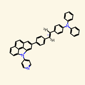 [2H]/C(=C(/[2H])c1ccc(N(c2ccccc2)c2ccccc2)cc1)c1ccc(-c2cc3ccc4cccc5c4c3c(c2)n5-c2ccncc2)cc1